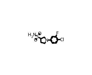 NS(=O)(=O)C1CCN(c2ccc(Cl)c(F)c2)C1